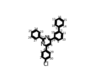 Clc1ccc(-c2cc(-c3cccc(-c4ccccc4)c3)nc(-c3ccccc3)n2)cc1